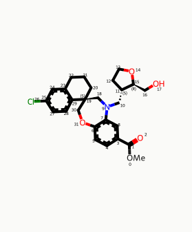 COC(=O)c1ccc2c(c1)N(C[C@@H]1CCO[C@H]1CO)C[C@@]1(CCCc3cc(Cl)ccc31)CO2